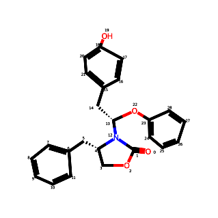 O=C1OC[C@H](Cc2ccccc2)N1[C@H](Cc1ccc(O)cc1)Oc1ccccc1